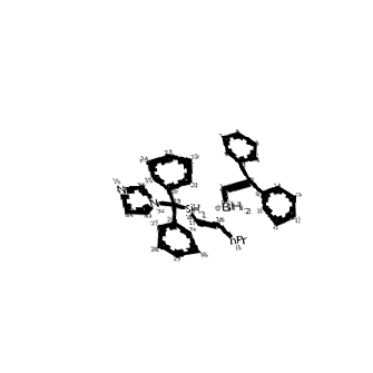 BC=C(c1ccccc1)c1ccccc1.CCCC=C[SiH2]C(c1ccccc1)(c1ccccc1)n1ccnc1